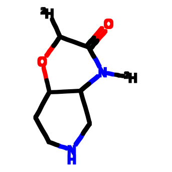 [2H]C1OC2CCNCC2N([2H])C1=O